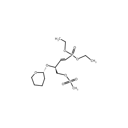 CCOP(=O)(/C=C/[C@@H](COS(C)(=O)=O)O[C@@H]1CCCCO1)OCC